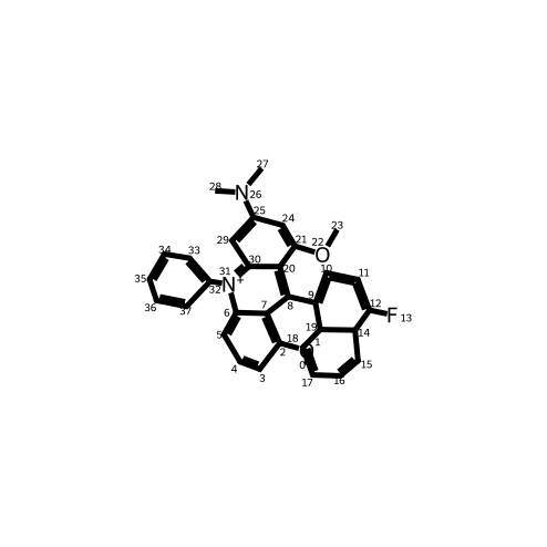 COc1cccc2c1c(C1=C=C=C(F)C3C=CC=CC13)c1c(OC)cc(N(C)C)cc1[n+]2-c1ccccc1